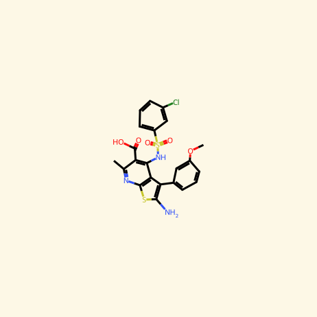 COc1cccc(-c2c(N)sc3nc(C)c(C(=O)O)c(NS(=O)(=O)c4cccc(Cl)c4)c23)c1